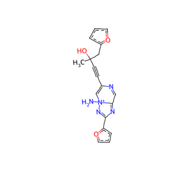 CC(O)(C#CC1=C[N+]2(N)N=C(c3ccco3)N=C2C=N1)Cc1ccco1